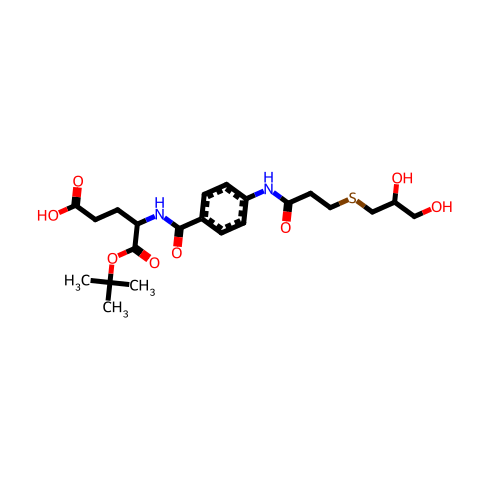 CC(C)(C)OC(=O)C(CCC(=O)O)NC(=O)c1ccc(NC(=O)CCSCC(O)CO)cc1